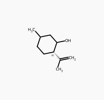 C=C(C)[C@@H]1CCC(C)CC1O